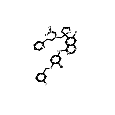 O=S(=O)=CN(CCc1ccccn1)CC1(c2cc3c(Nc4ccc(OCc5cccc(F)c5)c(Br)c4)ncnc3cc2F)CC=CO1